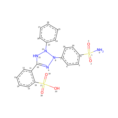 NS(=O)(=O)c1ccc(N2N=C(c3ccccc3S(=O)(=O)O)NN2c2ccccc2)cc1